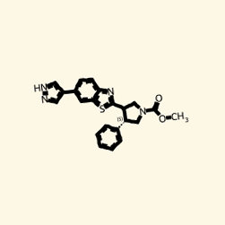 COC(=O)N1CC(c2nc3ccc(-c4cn[nH]c4)cc3s2)[C@@H](c2ccccc2)C1